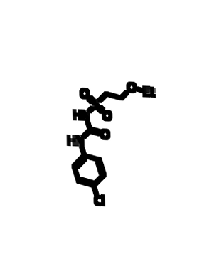 CCOCCS(=O)(=O)NC(=O)Nc1ccc(Cl)cc1